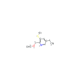 CCSc1cc(CC#N)cnc1COC=O